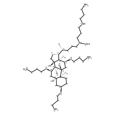 CCCCCCCCN(CCCNCCCN)CCC[C@@H](C)[C@H]1CC[C@H]2[C@@H]3[C@H](OCCCN)C[C@@H]4C[C@H](OCCCN)CC[C@]4(C)[C@H]3C[C@H](OCCCN)[C@]12C